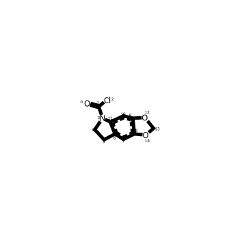 O=C(Cl)N1CCc2cc3c(cc21)OCO3